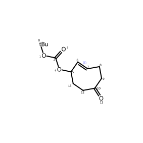 CC(C)(C)OC(=O)OC1/C=C/CCC(=O)CC1